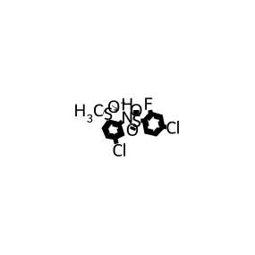 C[S+]([O-])c1ccc(Cl)cc1NS(=O)(=O)c1ccc(Cl)cc1F